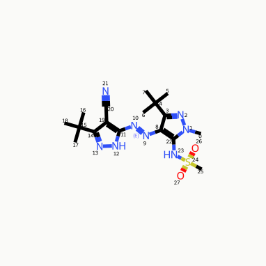 Cn1nc(C(C)(C)C)c(/N=N/c2[nH]nc(C(C)(C)C)c2C#N)c1NS(C)(=O)=O